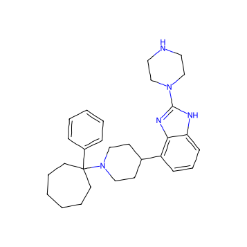 c1ccc(C2(N3CCC(c4cccc5[nH]c(N6CCNCC6)nc45)CC3)CCCCCC2)cc1